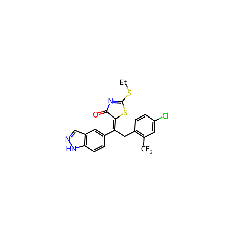 CCSC1=NC(=O)C(=C(Cc2ccc(Cl)cc2C(F)(F)F)c2ccc3[nH]ncc3c2)S1